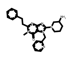 Cn1c(CCc2ccccc2)nc2nc(N3CCCC(N)C3)n(Cc3ccccn3)c2c1=O